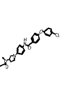 CC(=O)N(C)C1CCN(c2ccc(NC(=O)c3ccc(Oc4ccc(Cl)cc4)cc3)cc2)C1